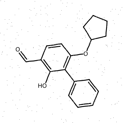 O=Cc1ccc(OC2CCCC2)c(-c2ccccc2)c1O